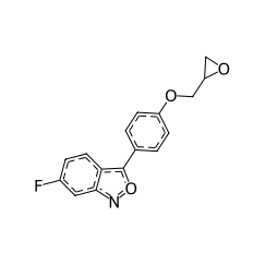 Fc1ccc2c(-c3ccc(OCC4CO4)cc3)onc2c1